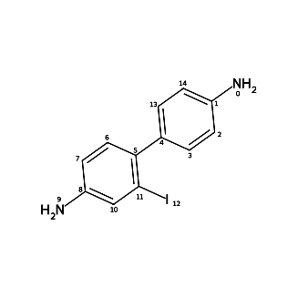 Nc1ccc(-c2ccc(N)cc2I)cc1